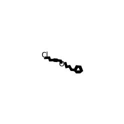 ClCCCC#CCOCCCCc1ccccc1